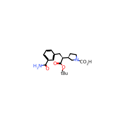 CC(C)(C)OC(=O)[C@@H](Cc1cccc(C(N)=O)c1)[C@H]1CCN(C(=O)O)C1